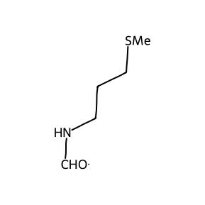 CSCCCN[C]=O